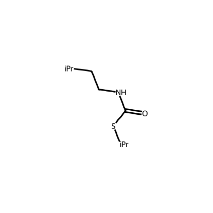 CC(C)CCNC(=O)SC(C)C